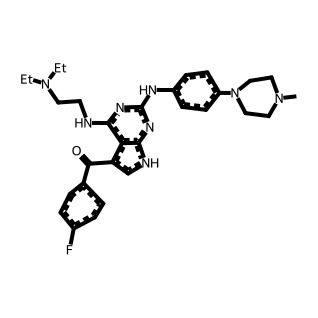 CCN(CC)CCNc1nc(Nc2ccc(N3CCN(C)CC3)cc2)nc2[nH]cc(C(=O)c3ccc(F)cc3)c12